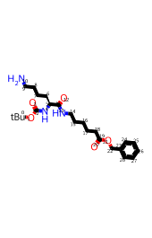 CC(C)(C)OC(=O)N[C@@H](CCCCN)C(=O)NCCCCCC(=O)OCc1ccccc1